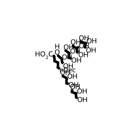 CCCCCCCCCCCCCCC(=O)O.OCC(O)CO.OCC(O)CO.OCC(O)CO.OCC(O)CO.OCC(O)CO.OCC(O)CO